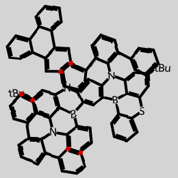 CC(C)(C)c1cc2c3c(c1)N(c1c(-c4ccccc4)cccc1-c1ccccc1)c1cc4c(cc1B3c1ccccc1S2)B1c2ccccc2N(c2c(-c3ccccc3)cccc2-c2ccccc2)c2cc(C(C)(C)C)cc(c21)N4c1ccc2c3ccccc3c3ccccc3c2c1